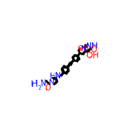 NCC(=O)N1CC[C@@H](NCc2ccc(C#Cc3ccc(C(CO)Cc4nc[nH]c(=O)c4O)cc3)cc2)C1